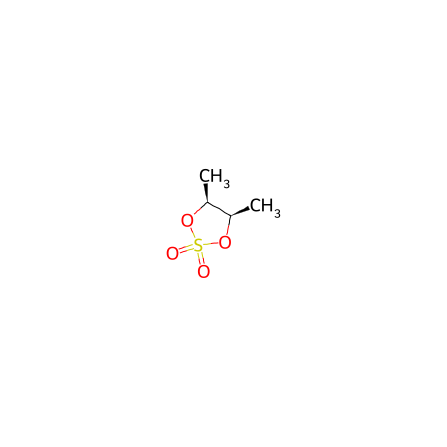 C[C@@H]1OS(=O)(=O)O[C@@H]1C